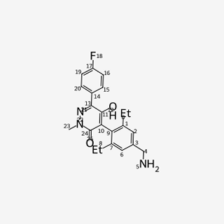 CCc1cc(CN)cc(CC)c1-c1c(O)c(-c2ccc(F)cc2)nn(C)c1=O